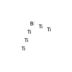 [B].[Ti].[Ti].[Ti].[Ti].[Ti]